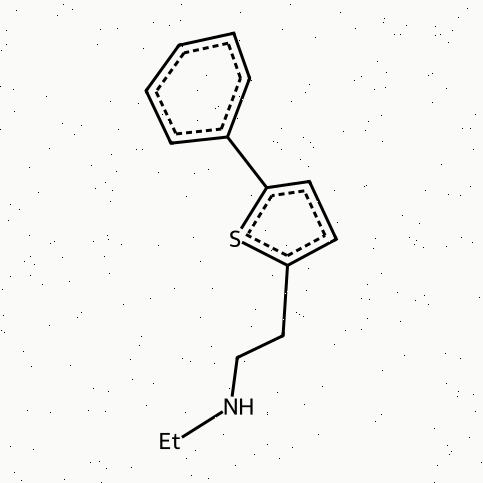 CCNCCc1ccc(-c2ccccc2)s1